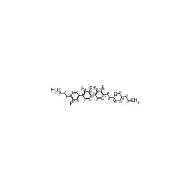 C=CCCc1ccc(-c2ccc(-c3ccc(CCC4CCC(CCC)CO4)c(F)c3F)c(F)c2F)cc1F